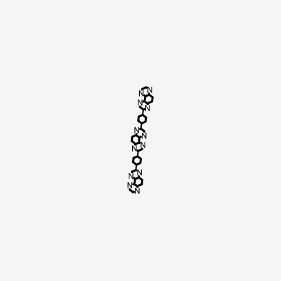 c1cnc2c(ccc3nc(-c4ccc(-c5cnc6c(ccc7nc(-c8ccc(-c9cnc%10c(ccc%11nccnc%11%10)n9)cc8)cnc76)n5)cc4)cnc32)n1